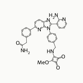 COc1c(NCc2ccc(-n3c(-c4cccnc4N)nc4ccc(-c5cccc(CC(N)=O)c5)nc43)cc2)c(=O)c1=O